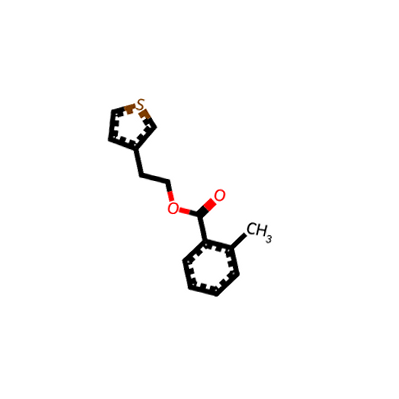 Cc1ccccc1C(=O)OCCc1ccsc1